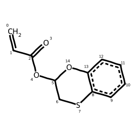 C=CC(=O)OC1CSc2ccccc2O1